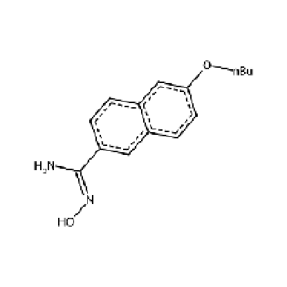 CCCCOc1ccc2cc(C(N)=NO)ccc2c1